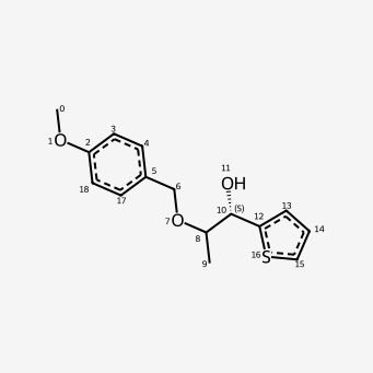 COc1ccc(COC(C)[C@H](O)c2cccs2)cc1